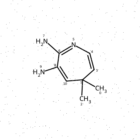 CC1(C)C=CN=C(N)C(N)=C1